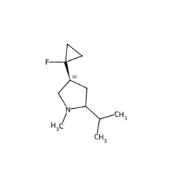 CC(C)C1C[C@H](C2(F)CC2)CN1C